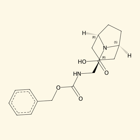 O=C(NC[C@H]1C[C@H]2CC[C@@H](C1)N2C(=O)O)OCc1ccccc1